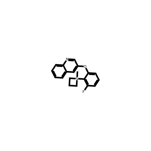 C[Si]1(c2c(F)cccc2Oc2cnc3ccccc3c2)CCC1